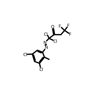 Cc1c(Cl)cc(Cl)cc1N=NC(Cl)(Cl)C(=O)CC(F)(F)F